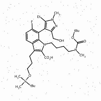 CCc1c(-c2c(F)ccc3c(CCCO[Si](C)(C)C(C)(C)C)c(C(=O)O)n(CCCCN(C)C(=O)OC(C)(C)C)c23)c(CO)nn1C